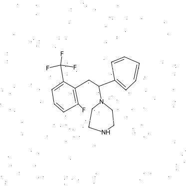 Fc1cccc(C(F)(F)F)c1CC(c1ccccc1)N1CCNCC1